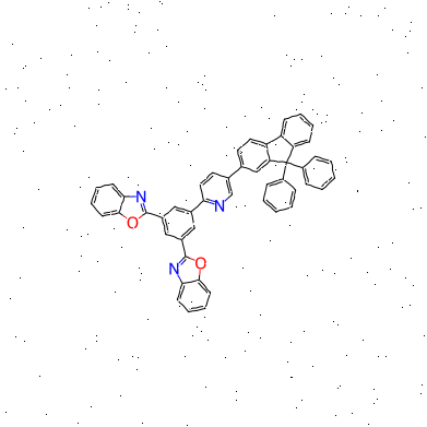 c1ccc(C2(c3ccccc3)c3ccccc3-c3ccc(-c4ccc(-c5cc(-c6nc7ccccc7o6)cc(-c6nc7ccccc7o6)c5)nc4)cc32)cc1